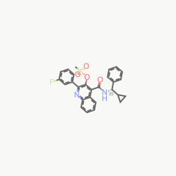 CS(=O)(=O)Oc1c(-c2cccc(F)c2)nc2ccccc2c1C(=O)N[C@H](c1ccccc1)C1CC1